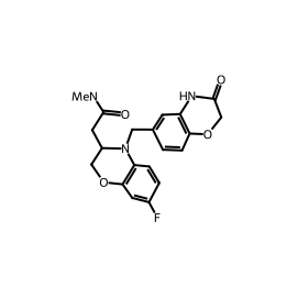 CNC(=O)CC1COc2cc(F)ccc2N1Cc1ccc2c(c1)NC(=O)CO2